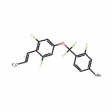 CCCCc1ccc(C(F)(F)Oc2cc(F)c(/C=C/C(F)(F)F)c(F)c2)c(F)c1